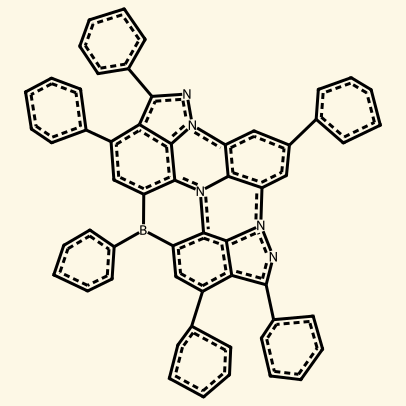 c1ccc(B2c3cc(-c4ccccc4)c4c(-c5ccccc5)nn5c6cc(-c7ccccc7)cc7c6-n(c3c45)c3c2cc(-c2ccccc2)c2c(-c4ccccc4)nn7c23)cc1